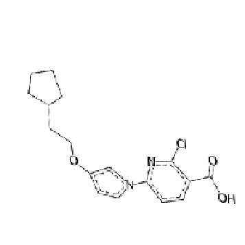 O=C(O)c1ccc(-n2ccc(OCCC3CCCC3)c2)nc1Cl